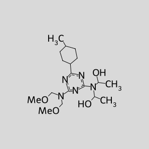 COCN(COC)c1nc(C2CCC(C)CC2)nc(N(C(C)O)C(C)O)n1